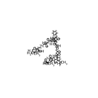 Cc1c(F)cc2nc3c(c4c2c1CC[C@@H]4NC(=O)CC(=O)COCNC(=O)CNC(=O)[C@H](Cc1ccccc1)NC(=O)CNC(=O)CNC(=O)CCCCCN1C(=O)C(C(C)(C)C)CC1O)Cn1c-3cc2c(c1=O)COC(=O)[C@@]2(C)O